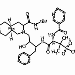 CC(C)(C)NC(=O)C1C[C@@H]2CCCC[C@@H]2CN1CC(O)C(Cc1ccccc1)NC(=O)[C@@H](NC(=O)c1cccnc1)C(C)(C)S(C)(=O)=O